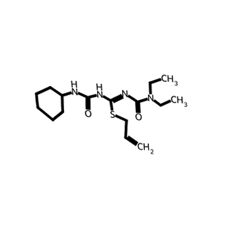 C=CCSC(=NC(=O)N(CC)CC)NC(=O)NC1CCCCC1